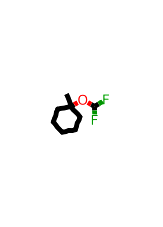 CC1(OC(F)F)CCCCC1